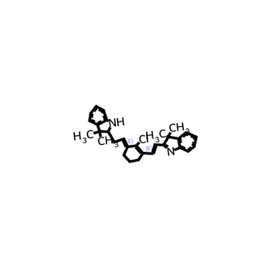 CC1(C)C(/C=C/C2=C(Cl)C(=C/CC3Nc4ccccc4C3(C)C)/CCC2)=Nc2ccccc21